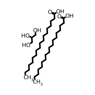 CCCCCCCCCCCCCCCCCC(=O)O.CCCCCCCCCCCCCCCCCC(=O)O.OCC(O)CO